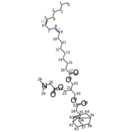 CCCCC/C=C\C/C=C\CCCCCCCC(=O)OCC(COC(=O)CN(C)C)COC(=O)CC12CC3CC(CC(C3)C1)C2